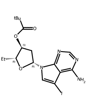 CC[C@H]1O[C@@H](n2cc(I)c3c(N)ncnc32)C[C@@H]1OC(=O)C(C)(C)C